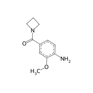 COc1cc(C(=O)N2CCC2)ccc1N